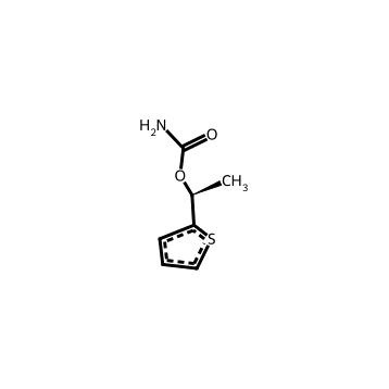 C[C@H](OC(N)=O)c1cccs1